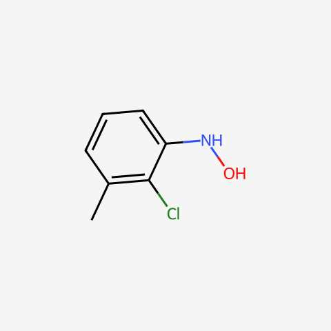 Cc1cccc(NO)c1Cl